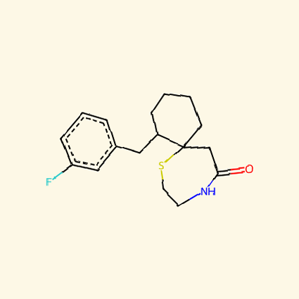 O=C1CC2(CCCCC2Cc2cccc(F)c2)SCCN1